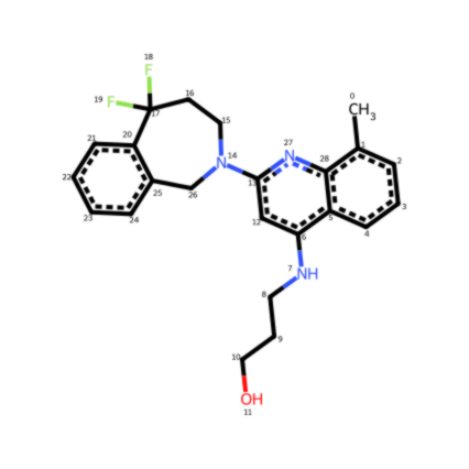 Cc1cccc2c(NCCCO)cc(N3CCC(F)(F)c4ccccc4C3)nc12